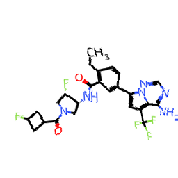 CCc1ccc(-c2cc(C(F)(F)F)c3c(N)ncnn23)cc1C(=O)N[C@@H]1CN(C(=O)C2CC(F)C2)C[C@@H]1F